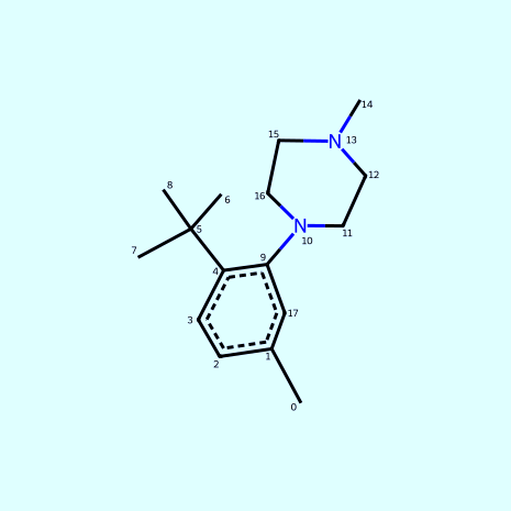 Cc1ccc(C(C)(C)C)c(N2CCN(C)CC2)c1